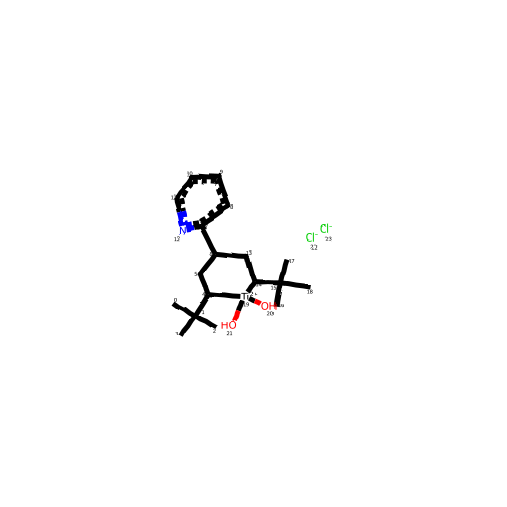 CC(C)(C)[CH]1CC(c2ccccn2)C[CH](C(C)(C)C)[Ti+2]1([OH])[OH].[Cl-].[Cl-]